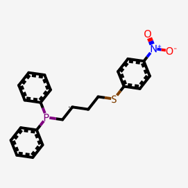 O=[N+]([O-])c1ccc(SCC[CH]CP(c2ccccc2)c2ccccc2)cc1